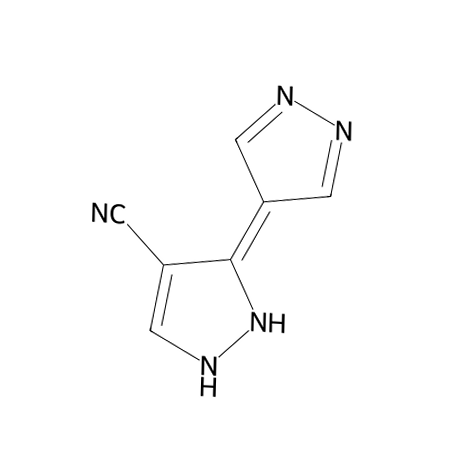 N#CC1=CNNC1=C1C=NN=C1